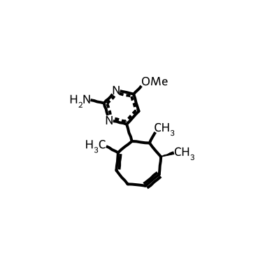 COc1cc(C2/C(C)=C\CC#C[C@H](C)C2C)nc(N)n1